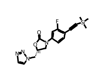 C[Si](C)(C)C#Cc1ccc(N2C[C@H](Cn3ccnn3)OC2=O)cc1F